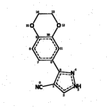 N#Cc1c[nH]nc1-c1ccc2c(c1)OCCO2